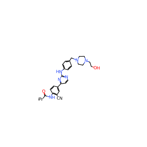 CC(C)C(=O)Nc1ccc(-c2ccnc(Nc3ccc(CN4CCN(CCO)CC4)cc3)n2)cc1C#N